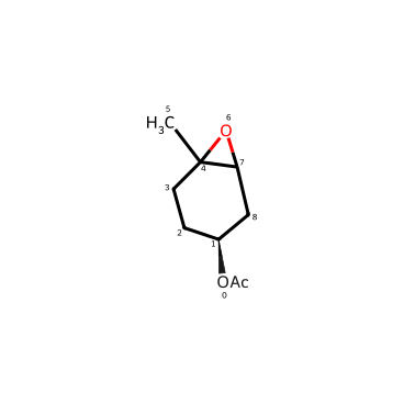 CC(=O)O[C@H]1CCC2(C)OC2C1